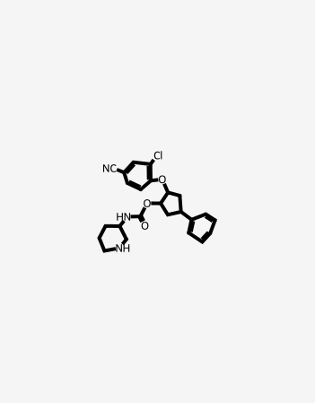 N#Cc1ccc(OC2CC(c3ccccc3)CC2OC(=O)NC2CCCNC2)c(Cl)c1